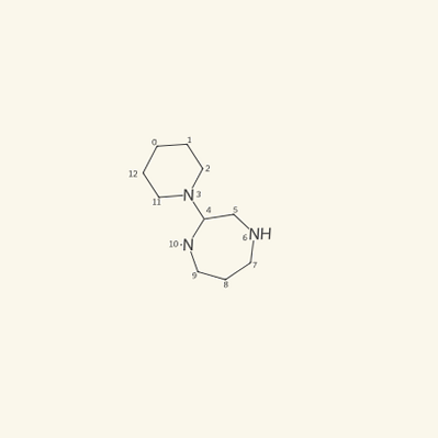 C1CCN(C2CNCCC[N]2)CC1